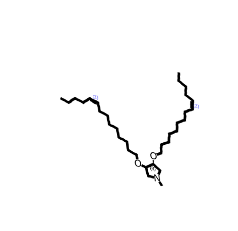 CCCC/C=C\CCCCCCCCOC1CN(C)C[C@H]1OCCCCCCCC/C=C\CCCC